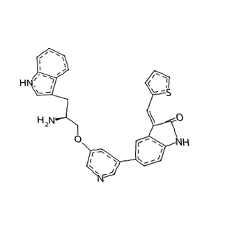 N[C@H](COc1cncc(-c2ccc3c(c2)/C(=C/c2cccs2)C(=O)N3)c1)Cc1c[nH]c2ccccc12